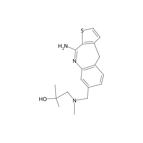 CN(Cc1ccc2c(c1)N=C(N)c1sccc1C2)CC(C)(C)O